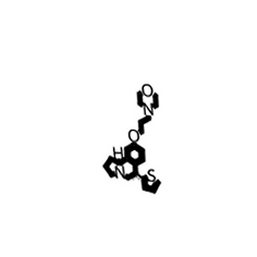 c1csc([C@H]2CN3CCC[C@H]3c3cc(OCCCN4CCOCC4)ccc32)c1